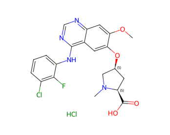 COc1cc2ncnc(Nc3cccc(Cl)c3F)c2cc1O[C@H]1C[C@@H](C(=O)O)N(C)C1.Cl